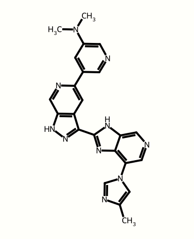 Cc1cn(-c2cncc3[nH]c(-c4n[nH]c5cnc(-c6cncc(N(C)C)c6)cc45)nc23)cn1